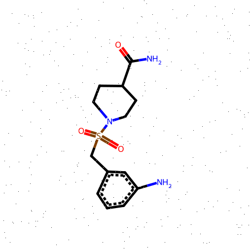 NC(=O)C1CCN(S(=O)(=O)Cc2cccc(N)c2)CC1